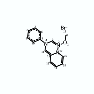 CO[N+]1=CN(c2ccccc2)C=C2C=CC=CN21.[Br-]